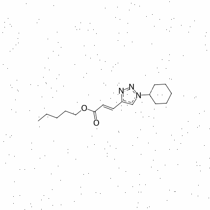 CCCCCOC(=O)C=Cc1cn(C2CCCCC2)nn1